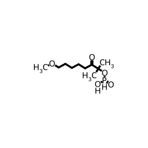 COCCCCCC(=O)C(C)(C)O[PH](=O)O